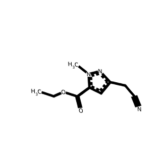 CCOC(=O)c1cc(CC#N)nn1C